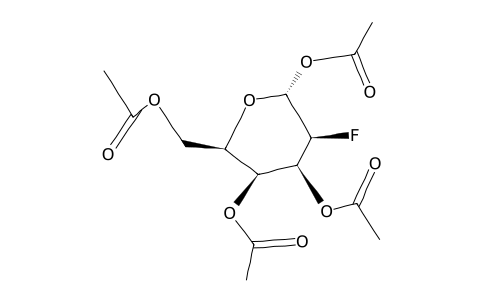 CC(=O)OC[C@H]1O[C@H](OC(C)=O)[C@@H](F)[C@@H](OC(C)=O)[C@H]1OC(C)=O